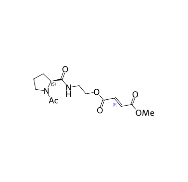 COC(=O)/C=C/C(=O)OCCNC(=O)[C@@H]1CCCN1C(C)=O